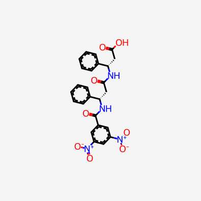 O=C(O)C[C@H](NC(=O)C[C@H](NC(=O)c1cc([N+](=O)[O-])cc([N+](=O)[O-])c1)c1ccccc1)c1ccccc1